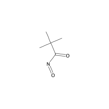 CC(C)(C)C(=O)N=O